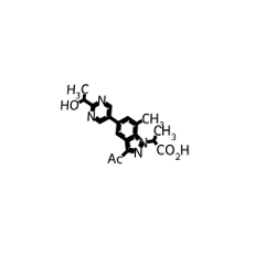 CC(=O)c1nn(C(C)C(=O)O)c2c(C)cc(-c3cnc(C(C)O)nc3)cc12